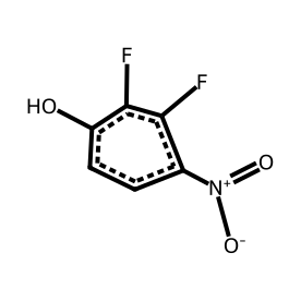 O=[N+]([O-])c1ccc(O)c(F)c1F